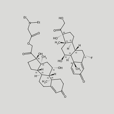 CCN(CC)CC(=O)OCC(=O)[C@@]1(O)CC[C@H]2[C@@H]3CCC4=CC(=O)CC[C@]4(C)[C@H]3[C@@H](O)C[C@@]21C.C[C@]12C=CC(=O)C=C1[C@@H](F)C[C@@H]1[C@@H]2[C@@H](O)C[C@@]2(C)[C@H]1CC[C@]2(O)C(=O)CO